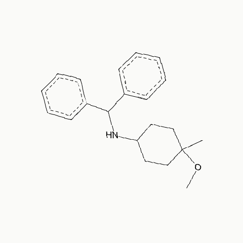 COC1(C)CCC(NC(c2ccccc2)c2ccccc2)CC1